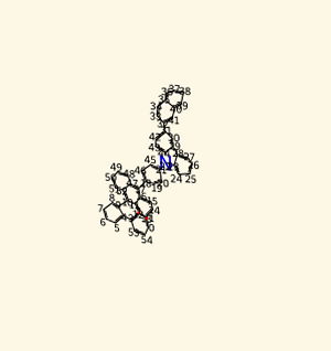 c1ccc(-c2ccccc2-c2c3ccccc3c(-c3ccc(-n4c5ccccc5c5cc(-c6ccc7ccccc7c6)ccc54)cc3)c3ccccc23)cc1